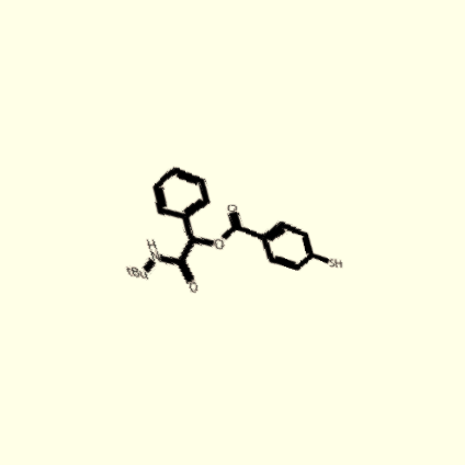 CC(C)(C)NC(=O)C(OC(=O)c1ccc(S)cc1)c1ccccc1